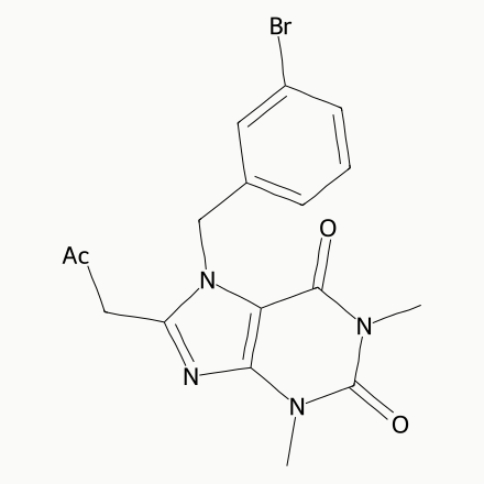 CC(=O)Cc1nc2c(c(=O)n(C)c(=O)n2C)n1Cc1cccc(Br)c1